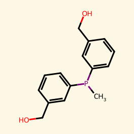 CP(c1cccc(CO)c1)c1cccc(CO)c1